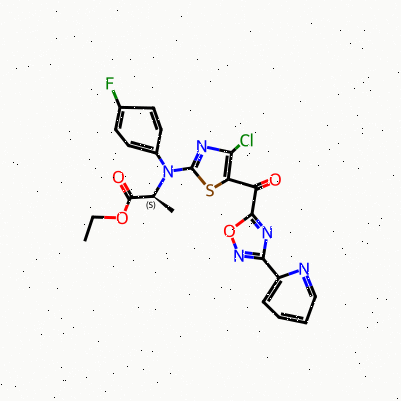 CCOC(=O)[C@H](C)N(c1ccc(F)cc1)c1nc(Cl)c(C(=O)c2nc(-c3ccccn3)no2)s1